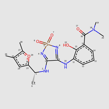 CC[C@@H](NC1=NS(=O)(=O)N=C1Nc1cccc(C(=O)N(C)C)c1O)c1cc(C)c(C)o1